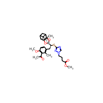 COC(=O)CCCn1cnc(S[C@@H](Cc2ccc(OC)c(C(C)=O)c2C)B2OC3CC4CC(C4(C)C)[C@]3(C)O2)n1